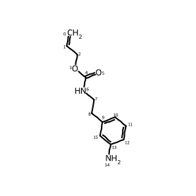 C=CCOC(=O)NCCc1cccc(N)c1